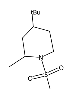 CC1CC(C(C)(C)C)CCN1S(C)(=O)=O